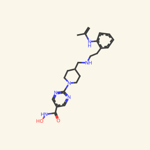 C=C(C)Nc1ccccc1CCNCC1CCN(c2ncc(C(=O)NO)cn2)CC1